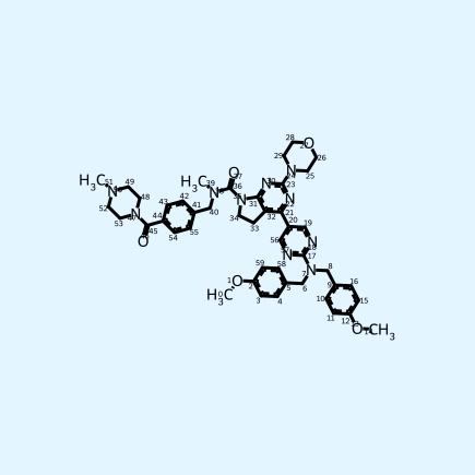 COc1ccc(CN(Cc2ccc(OC)cc2)c2ncc(-c3nc(N4CCOCC4)nc4c3CCN4C(=O)N(C)Cc3ccc(C(=O)N4CCN(C)CC4)cc3)cn2)cc1